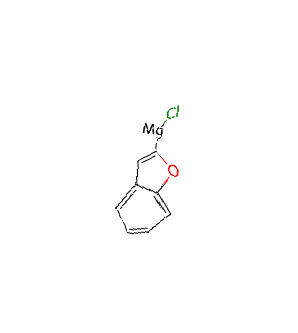 [Cl][Mg][c]1cc2ccccc2o1